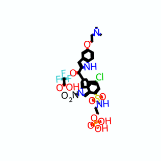 CN(C)CCOc1ccc2[nH]c(C(=O)C3C=C4N([N+](=O)[O-])C=C5C(S(=O)(=O)NCCOP(=O)(O)O)=CC=CC54C(CCl)C3)cc2c1.O=C(O)C(F)(F)F